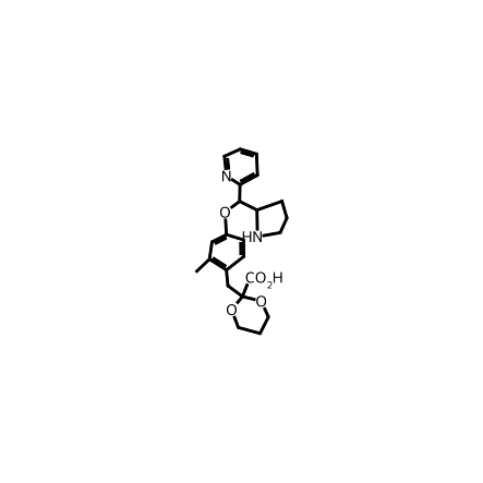 Cc1cc(OC(c2ccccn2)C2CCCN2)ccc1CC1(C(=O)O)OCCCO1